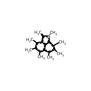 C=c1c2c(C)c(C)c(C)c3c(C)c(C)c(C)c(c32)n1C